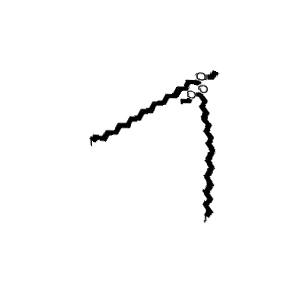 CCOC(CCC=CCCCCCCCCCCCCCI)OC(CCC=CCCCCCCCCCCCCCI)OCC